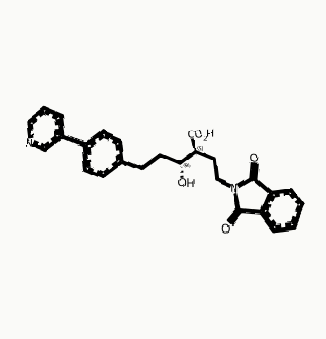 O=C(O)[C@@H](CCN1C(=O)c2ccccc2C1=O)[C@H](O)CCc1ccc(-c2cccnc2)cc1